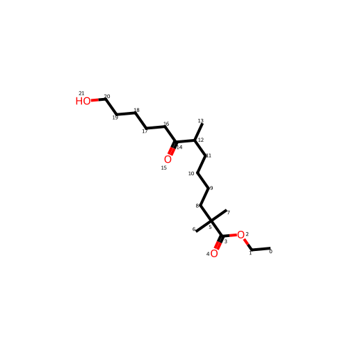 CCOC(=O)C(C)(C)CCCCC(C)C(=O)CCCCCO